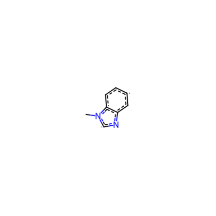 Cn1[c]nc2c[c]ccc21